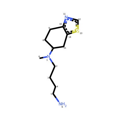 CN(CCCCN)C1CCc2ncsc2C1